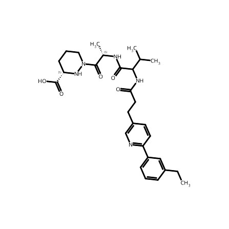 CCc1cccc(-c2ccc(CCC(=O)NC(C(=O)N[C@@H](C)C(=O)N3CCC[C@@H](C(=O)O)N3)C(C)C)cn2)c1